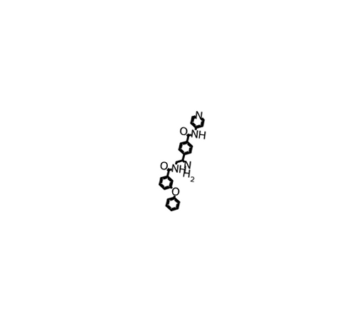 NC(CNC(=O)c1cccc(Oc2ccccc2)c1)c1ccc(C(=O)Nc2ccncc2)cc1